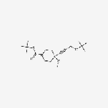 COC1(C#CCOC(C)(C)C)CCN(C(=O)OC(C)(C)C)CC1